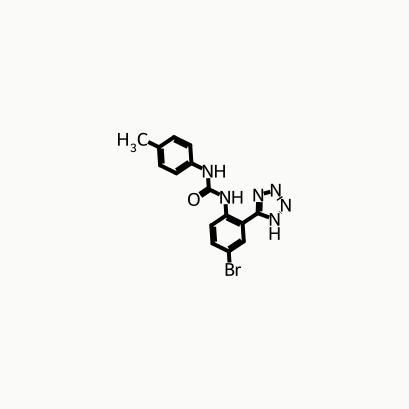 Cc1ccc(NC(=O)Nc2ccc(Br)cc2-c2nnn[nH]2)cc1